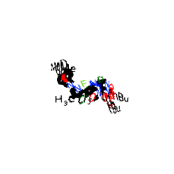 CCCCOC(=O)N(C(=O)OC(C)(C)C)c1ncccc1[C@@H](C)N1CCOc2c(Cl)c(-c3nc(N(Cc4ccc(OC)cc4)Cc4ccc(OC)cc4)cc(C)c3C(F)(F)F)c(F)c3nc(Cl)nc1c23